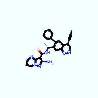 CC#Cc1cnnc2cc([C@@H](C)NC(=O)c3c(N)nn4cccnc34)c(-c3ccccc3)cc12